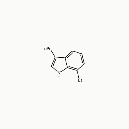 CCCc1c[nH]c2c(CC)cccc12